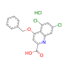 Cl.O=C(O)c1cc(OCc2ccccc2)c2c(Cl)cc(Cl)cc2n1